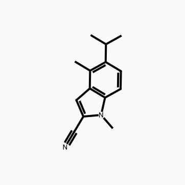 Cc1c(C(C)C)ccc2c1cc(C#N)n2C